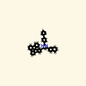 c1ccc(-c2ccc(-c3nc(-c4ccc5c(c4)C4(c6ccccc6-c6ccccc64)c4ccccc4-5)cc(-c4ccc5ccccc5c4)n3)cc2)cc1